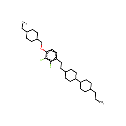 CCCC1CCC(C2CCC(CCc3ccc(OCC4CCC(CC)CC4)c(F)c3F)CC2)CC1